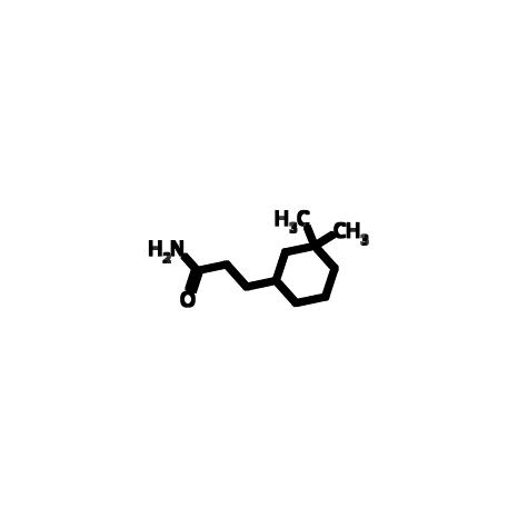 CC1(C)CCCC(CCC(N)=O)C1